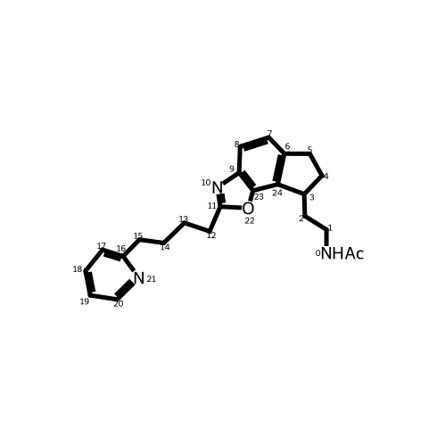 CC(=O)NCCC1CCc2ccc3nc(CCCCc4ccccn4)oc3c21